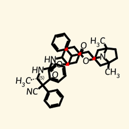 C[C@H](NC(=O)NC1CCC(CCN2C3(C)CCC2(C)CC(OC(=O)C(CO)c2ccccc2)C3)CC1)C(C#N)(c1ccccc1)c1ccccc1